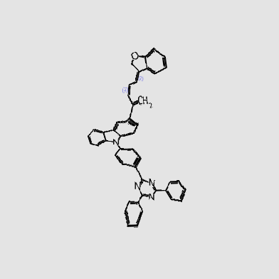 C=C(/C=C\C=C1/COc2ccccc21)c1ccc2c(c1)c1ccccc1n2-c1ccc(-c2nc(-c3ccccc3)nc(-c3ccccc3)n2)cc1